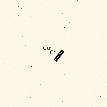 C=C.[Cr].[Cu]